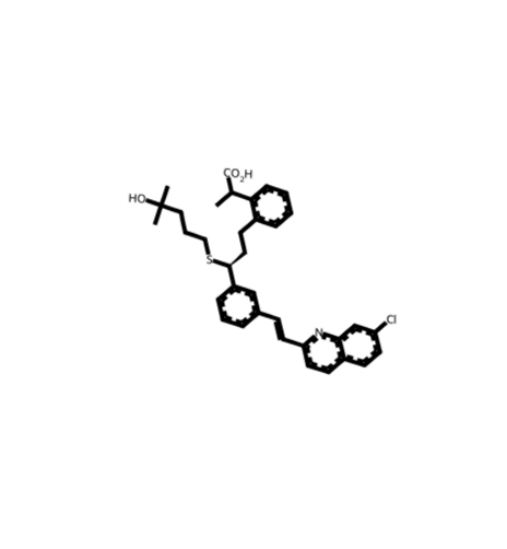 CC(C(=O)O)c1ccccc1CC[C@H](SCCCC(C)(C)O)c1cccc(C=Cc2ccc3ccc(Cl)cc3n2)c1